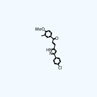 COc1ccc(C(=O)/C=C/c2cc(-c3ccc(Cl)cc3)n[nH]2)cc1C